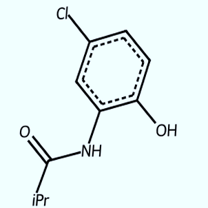 CC(C)C(=O)Nc1cc(Cl)ccc1O